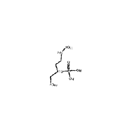 CCCCCCCCCCCCCCNCCCCCCCC.O=P(O)(O)O